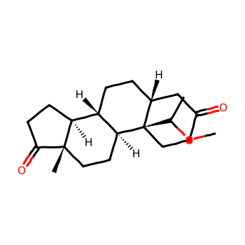 COC(C)[C@]12CCC(=O)C[C@H]1CC[C@@H]1[C@@H]2CC[C@]2(C)C(=O)CC[C@@H]12